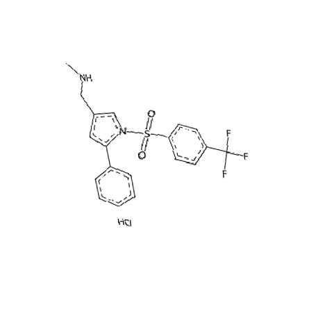 CNCc1cc(-c2ccccc2)n(S(=O)(=O)c2ccc(C(F)(F)F)cc2)c1.Cl